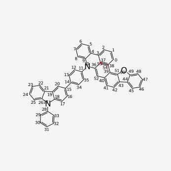 c1ccc(-c2ccccc2N(c2ccc(-c3ccc4c(c3)c3ccccc3n4-c3ccccc3)cc2)c2ccc3c(ccc4c5ccccc5oc34)c2)cc1